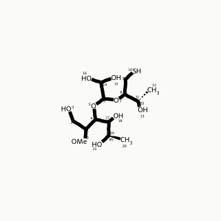 COC(CO)C(OC(OC(CS)[C@H](C)O)C(O)O)C(O)[C@@H](C)O